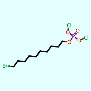 O=P(OCl)(OCl)OCCCCCCCCCCBr